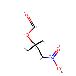 CC(C)(C[N+](=O)[O-])OC=O